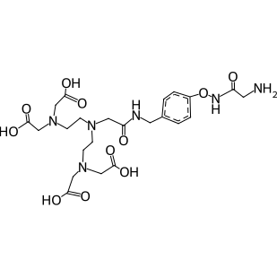 NCC(=O)NOc1ccc(CNC(=O)CN(CCN(CC(=O)O)CC(=O)O)CCN(CC(=O)O)CC(=O)O)cc1